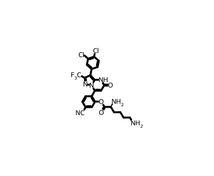 N#Cc1ccc(-c2cc(=O)[nH]c3c(-c4ccc(Cl)c(Cl)c4)c(C(F)(F)F)nn23)c(OC(=O)[C@@H](N)CCCCN)c1